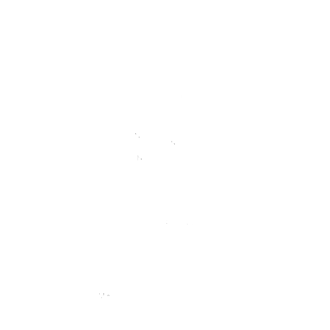 C=CCn1c(COc2ccccc2)nnc1SCC(=O)c1ccc(OC)cc1